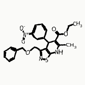 CCOC(=O)C1=C(C)Nc2snc(COCc3ccccc3)c2C1c1cccc([N+](=O)[O-])c1